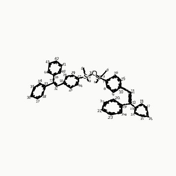 C[Si](C)(O[Si](C)(C)c1ccc(C=C(c2ccccc2)c2ccccc2)cc1)c1ccc(C=C(c2ccccc2)c2ccccc2)cc1